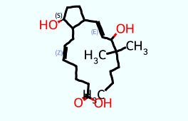 CCCCC(C)(C)C(O)/C=C/C1CC[C@H](O)C1C/C=C\CCCC(=O)O